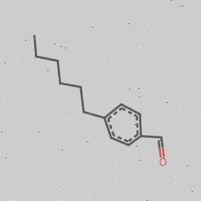 CCCCCCc1ccc(C=O)cc1